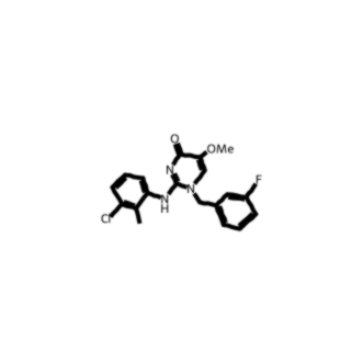 COc1cn(Cc2cccc(F)c2)c(Nc2cccc(Cl)c2C)nc1=O